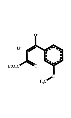 CCOC(=O)C(=O)/C=C(/[O-])c1cccc(OC(F)(F)F)c1.[Li+]